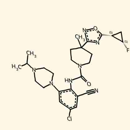 CC(C)N1CCN(c2cc(Cl)cc(C#N)c2NC(=O)N2CCC(C)(c3noc([C@@H]4C[C@@H]4F)n3)CC2)CC1